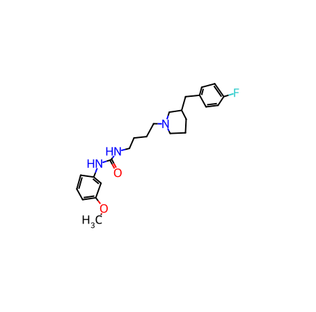 COc1cccc(NC(=O)NCCCCN2CCCC(Cc3ccc(F)cc3)C2)c1